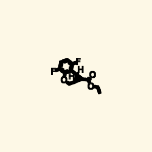 CCOC(=O)C1[C@H]2c3c(F)ccc(F)c3OC[C@@H]12